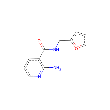 Nc1ncccc1C(=O)NCc1ccco1